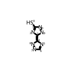 SC1=NC(=C2N=CN=N2)N=N1